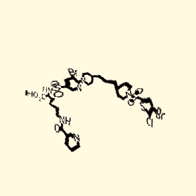 O=C(NCCCCC(NS(=O)(=O)c1cnc(N2CCC(CCCC3CCN(S(=O)(=O)c4cc(Br)c(Cl)s4)CC3)CC2)c(Br)c1)C(=O)O)c1cccnc1